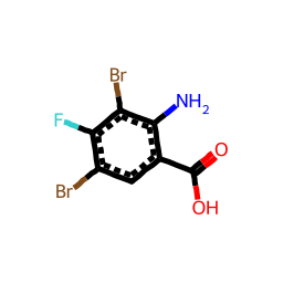 Nc1c(C(=O)O)cc(Br)c(F)c1Br